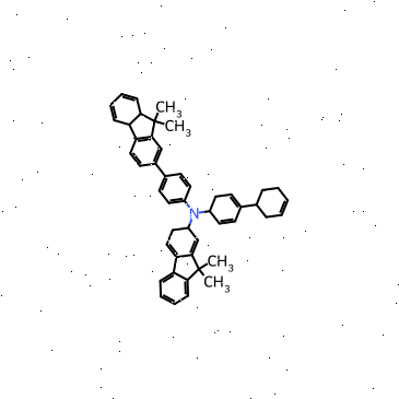 CC1(C)C2=CC(N(c3ccc(-c4ccc5c(c4)C(C)(C)C4C=CC=CC54)cc3)C3C=CC(C4CC=CCC4)=CC3)CC=C2c2ccccc21